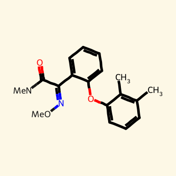 CNC(=O)C(=NOC)c1ccccc1Oc1cccc(C)c1C